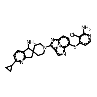 Nc1nccc(Sc2ccc3nc(N4CCC5(CC4)Cc4nc(C6CC6)ccc4C5N)c4cnc2n34)c1Cl